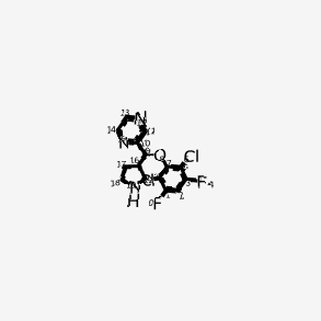 Fc1cc(F)c(Cl)c(O[C@H](c2cnccn2)C2CCNC2)c1Cl